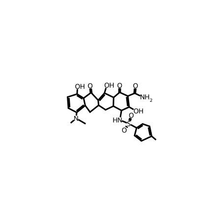 Cc1ccc(S(=O)(=O)NC2C(O)=C(C(N)=O)C(=O)C3C(O)=C4C(=O)c5c(O)ccc(N(C)C)c5CC4CC23)cc1